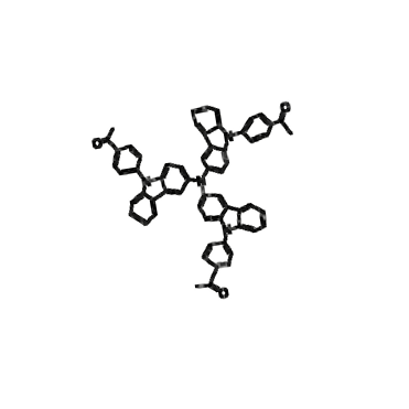 CC(=O)c1ccc(-n2c3ccccc3c3cc(N(c4ccc5c(c4)c4ccccc4n5-c4ccc(C(C)=O)cc4)c4ccc5c(c4)c4ccccc4n5-c4ccc(C(C)=O)cc4)ccc32)cc1